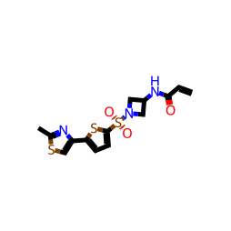 C=CC(=O)NC1CN(S(=O)(=O)c2ccc(-c3csc(C)n3)s2)C1